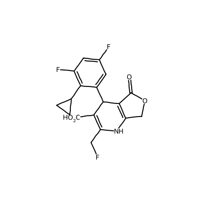 O=C(O)C1=C(CF)NC2=C(C(=O)OC2)C1c1cc(F)cc(F)c1C1CC1